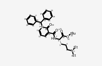 CCN(CC)CCC[C@H](NC(=O)c1cccn(C(c2ccccc2)c2ccccc2)c1=O)C(=O)OC(C)(C)C